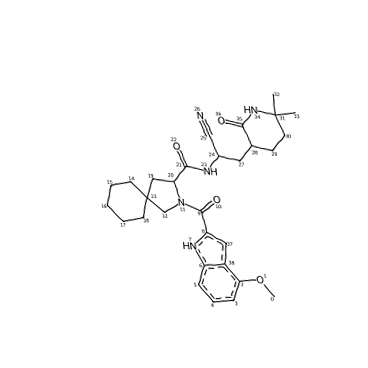 COc1cccc2[nH]c(C(=O)N3CC4(CCCCC4)CC3C(=O)NC(C#N)CC3CCC(C)(C)NC3=O)cc12